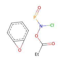 CCC(=O)ON(Cl)P=O.c1ccc2c(c1)O2